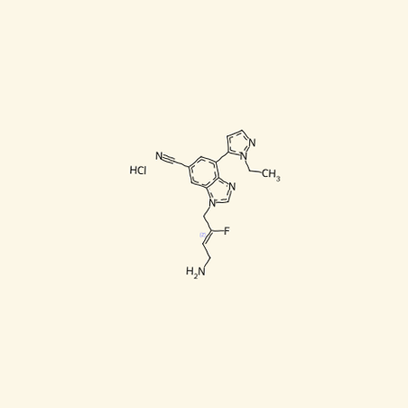 CCn1nccc1-c1cc(C#N)cc2c1ncn2C/C(F)=C/CN.Cl